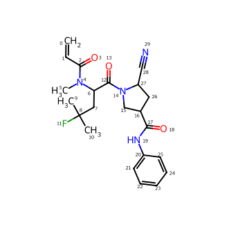 C=CC(=O)N(C)C(CC(C)(C)F)C(=O)N1CC(C(=O)Nc2ccccc2)CC1C#N